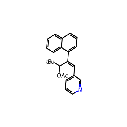 CC(=O)OC(C(=Cc1cccnc1)c1cccc2ccccc12)C(C)(C)C